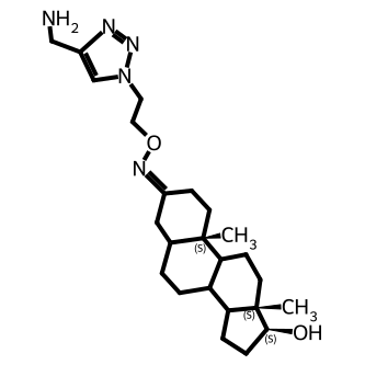 C[C@]12CCC(=NOCCn3cc(CN)nn3)CC1CCC1C2CC[C@@]2(C)C1CC[C@@H]2O